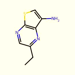 CCc1cnc2scc(N)c2n1